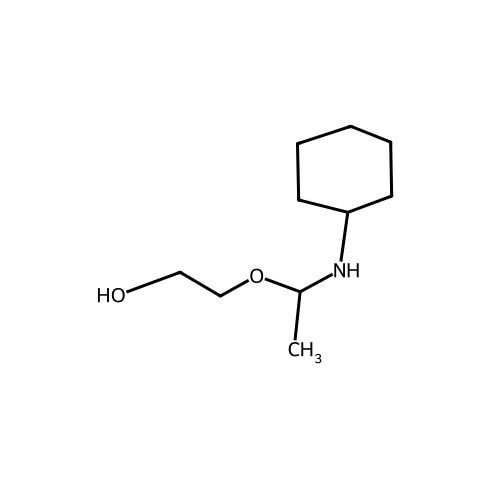 CC(NC1CCCCC1)OCCO